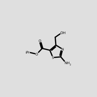 CC(C)OC(=O)c1sc(N)nc1CO